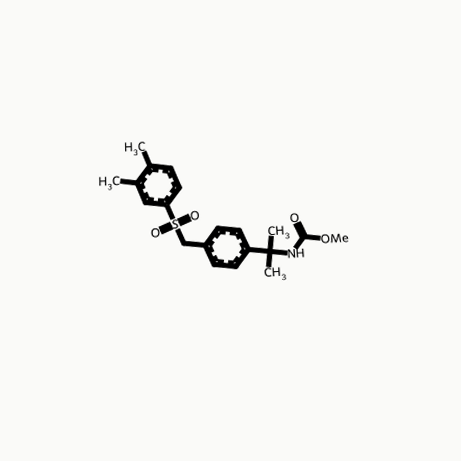 COC(=O)NC(C)(C)c1ccc(CS(=O)(=O)c2ccc(C)c(C)c2)cc1